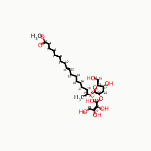 COC(=O)CCCCCCC/C=C/CCCCCCC(C)OC1OC(CO)[C@@H](O)C[C@@H]1OC(O)/C(O)=C(/O)CO